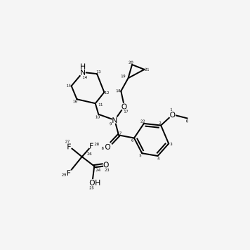 COc1cccc(C(=O)N(CC2CCNCC2)OCC2CC2)c1.O=C(O)C(F)(F)F